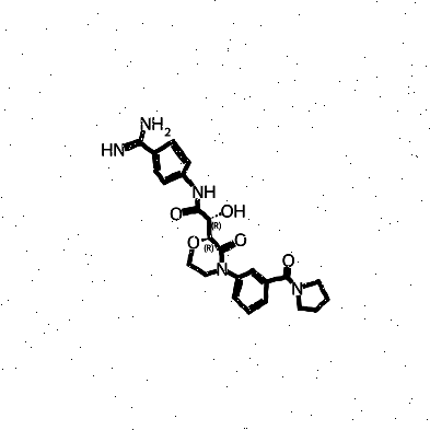 N=C(N)c1ccc(NC(=O)[C@H](O)[C@H]2OCCN(c3cccc(C(=O)N4CCCC4)c3)C2=O)cc1